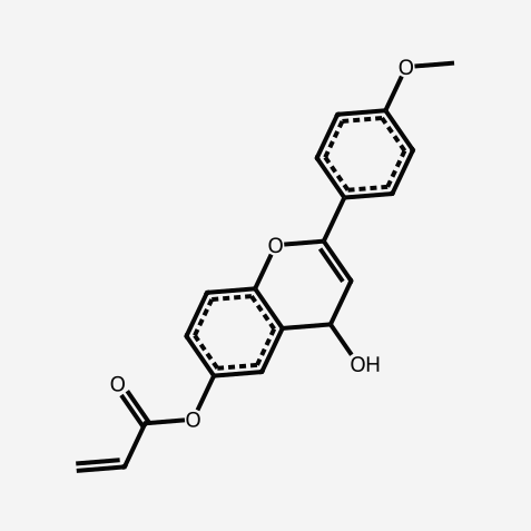 C=CC(=O)Oc1ccc2c(c1)C(O)C=C(c1ccc(OC)cc1)O2